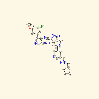 COc1cc(F)cc(-c2cncc3[nH]c(-c4n[nH]c5cnc(-c6cncc(CNCC7CCCC7)c6)cc45)nc23)c1